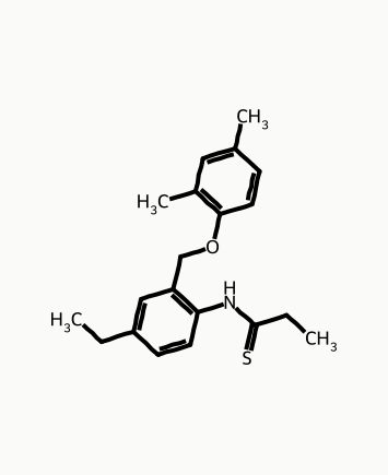 CCC(=S)Nc1ccc(CC)cc1COc1ccc(C)cc1C